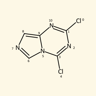 Clc1nc(Cl)n2cncc2n1